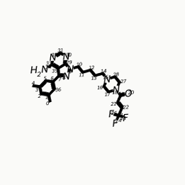 Cc1cc(C)cc(-c2nn(CCCCCN3CCN(C(=O)/C=C/C(F)(F)F)CC3)c3ncnc(N)c23)c1